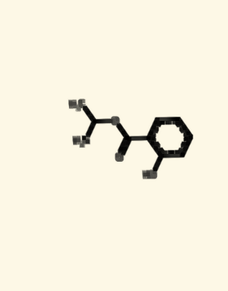 CC(N)OC(=O)c1ccccc1O